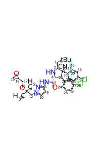 CC(C)(C)C[C@@H]1N[C@@H](C(=O)Nc2ccn(CC(C)(C)OC[C@H]3CO3)n2)[C@H](c2cccc(Cl)c2F)[C@@]1(C#N)c1ccc(Cl)cc1F